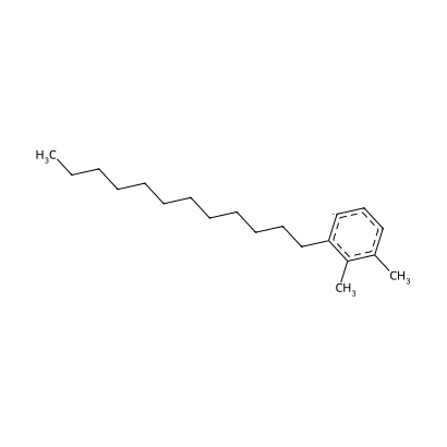 CCCCCCCCCCCCc1[c]ccc(C)c1C